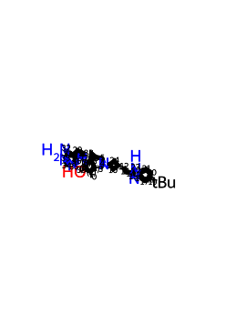 C[C@@H]1[C@@H](CN(CC2CC2)[C@H]2C[C@@H](CCc3nc4cc(C(C)(C)C)ccc4[nH]3)C2)C[C@@H](n2ccc3c(N)ncnc32)[C@@H]1O